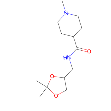 CN1CCC(C(=O)NCC2COC(C)(C)O2)CC1